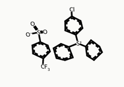 Clc1ccc([S+](c2ccccc2)c2ccccc2)cc1.O=S(=O)([O-])c1ccc(C(F)(F)F)cc1